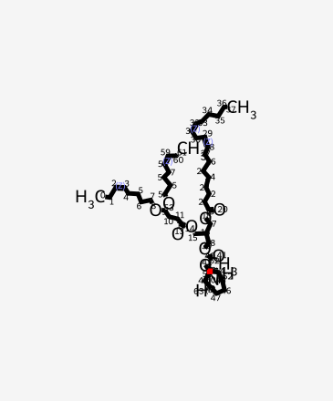 CC/C=C\CCCCOC(CCC(=O)OCC(COC(=O)CCCCCCC/C=C\C/C=C\CCCCC)COC(=O)OC1C[C@H]2CC[C@@H](C1)N2CC)OCCCC/C=C\CC